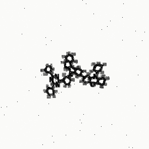 c1ccc(-c2nc(-c3ccccc3)nc(-c3cccc(-n4c5cc(-c6ccc7c(c6)N(c6ccccc6)c6ccccc6O7)ccc5c5c6ccccc6ccc54)c3)n2)cc1